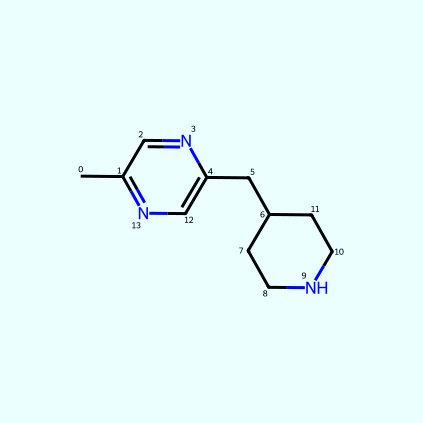 Cc1cnc(CC2CCNCC2)cn1